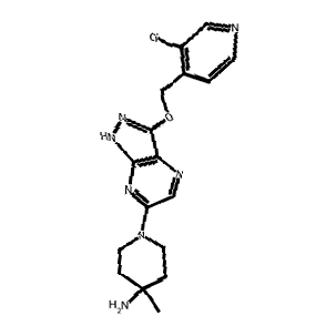 CC1(N)CCN(c2cnc3c(OCc4ccncc4Cl)n[nH]c3n2)CC1